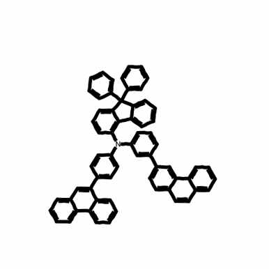 c1ccc(C2(c3ccccc3)c3ccccc3-c3c(N(c4ccc(-c5cc6ccccc6c6ccccc56)cc4)c4cccc(-c5ccc6ccc7ccccc7c6c5)c4)cccc32)cc1